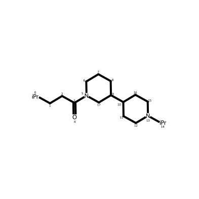 CC(C)CCC(=O)N1CCCC(C2CCN(C(C)C)CC2)C1